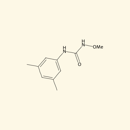 CONC(=O)Nc1cc(C)cc(C)c1